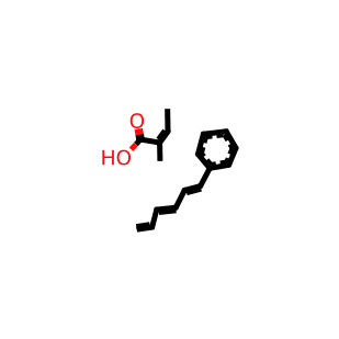 C=CC=CC=Cc1ccccc1.CC=C(C)C(=O)O